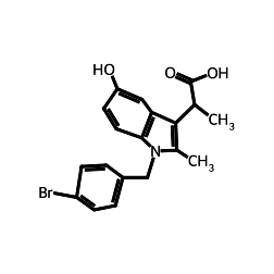 Cc1c(C(C)C(=O)O)c2cc(O)ccc2n1Cc1ccc(Br)cc1